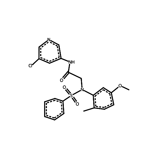 COc1ccc(C)c(N(CC(=O)Nc2cncc(Cl)c2)S(=O)(=O)c2ccccc2)c1